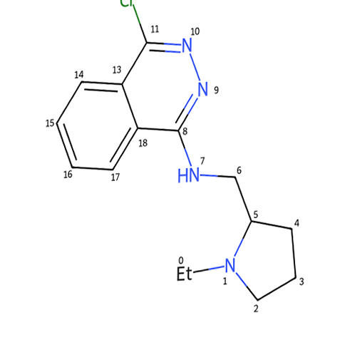 CCN1CCCC1CNc1nnc(Cl)c2ccccc12